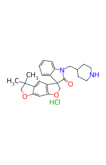 CC1(C)COc2cc3c(cc21)C1(CO3)C(=O)N(CC2CCNCC2)c2ccccc21.Cl